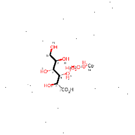 O.O.O.O=C(O)[C@H](O)[C@@H](O)[C@H](O)[C@H](O)CO.[Co]